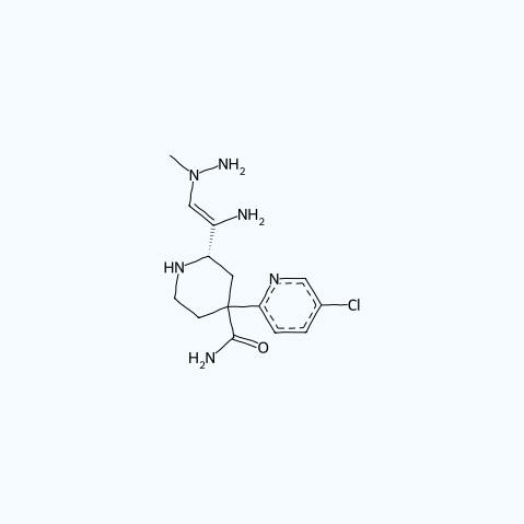 CN(N)/C=C(\N)[C@@H]1CC(C(N)=O)(c2ccc(Cl)cn2)CCN1